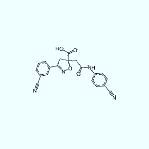 N#Cc1ccc(NC(=O)CC2(C(=O)O)CC(c3cccc(C#N)c3)=NO2)cc1